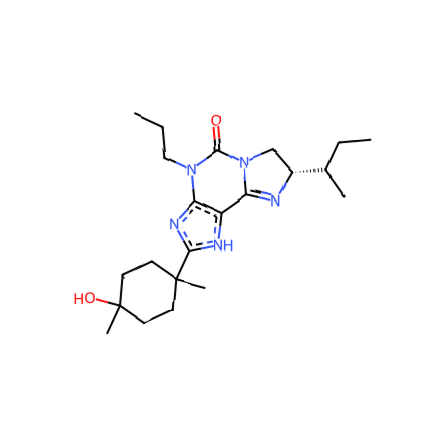 CCCN1C(=O)N2C[C@H](C(C)CC)N=C2c2[nH]c(C3(C)CCC(C)(O)CC3)nc21